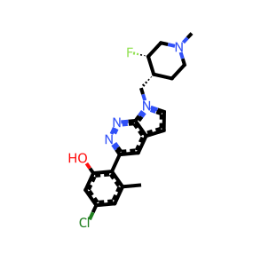 Cc1cc(Cl)cc(O)c1-c1cc2ccn(C[C@H]3CCN(C)C[C@H]3F)c2nn1